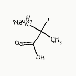 CC(C)(I)C(=O)O.[NaH]